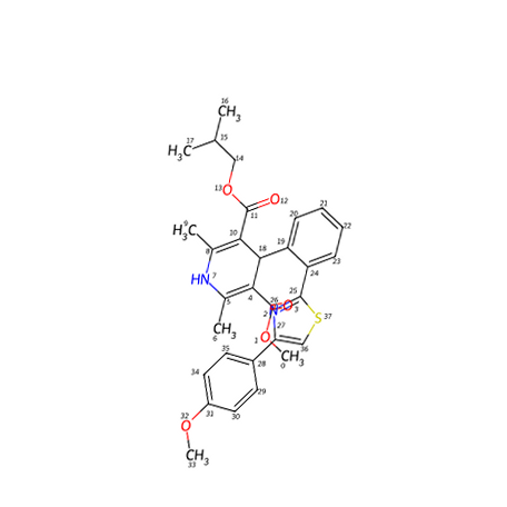 COC(=O)C1=C(C)NC(C)=C(C(=O)OCC(C)C)C1c1ccccc1-c1nc(-c2ccc(OC)cc2)cs1